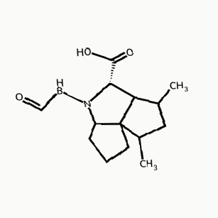 CC1CC(C)C23CCCC2N(BC=O)[C@H](C(=O)O)C13